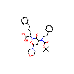 CC(C)(C)OC(=O)N(CCc1ccccc1)C(CC(=O)N1CCOCC1)C(=O)NC(CCCc1ccccc1)B(O)O